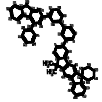 CC1(C)c2ccc(-c3cccc(-c4cccc(-c5nc(-c6ccccc6)c6c(n5)sc5ccccc56)c4)c3)cc2-c2cc3c(cc21)-c1ccccc1C31CCCCC1